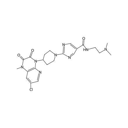 CN(C)CCNC(=O)c1cnc(N2CCC(n3c(=O)c(=O)n(C)c4cc(Cl)cnc43)CC2)nc1